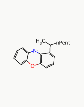 CCCCCC(C)c1cccc2c1[N]c1ccccc1O2